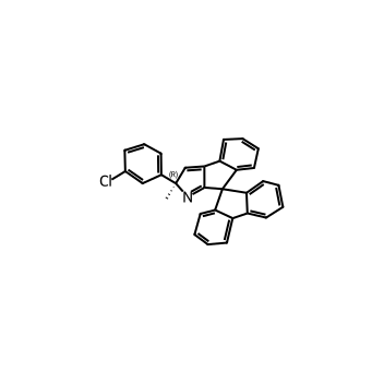 C[C@]1(c2cccc(Cl)c2)C=C2C(=N1)C1(c3ccccc32)c2ccccc2-c2ccccc21